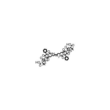 CC1(C)S[C@@H]2[C@H](N(C(=O)CCCCCCCCCCC(=O)N(C(=O)C(NC(N)=O)c3ccccc3)[C@@H]3C(=O)N4[C@@H]3SC(C)(C)[C@@H]4C(=O)O)C(=O)C(NC(N)=O)c3ccccc3)C(=O)N2[C@H]1C(=O)O